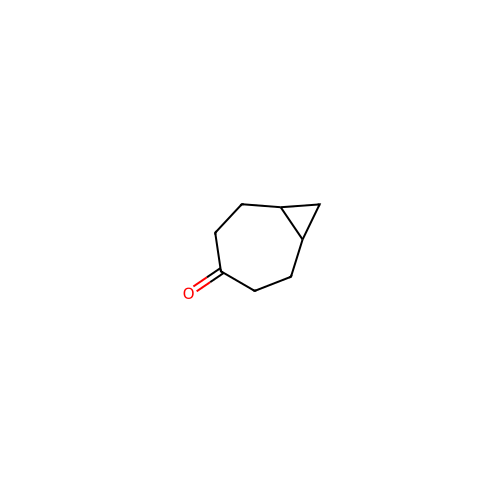 O=C1CCC2CC2CC1